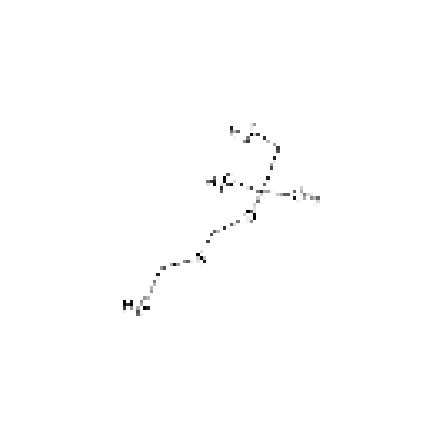 CCSCOC(C)(C)CC